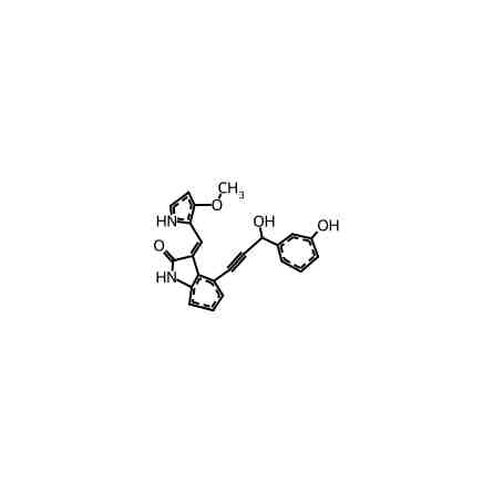 COc1cc[nH]c1/C=C1\C(=O)Nc2cccc(C#CC(O)c3cccc(O)c3)c21